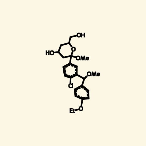 CCOc1ccc(C(OC)c2cc(C3(OC)CC(O)CC(CO)O3)ccc2Cl)cc1